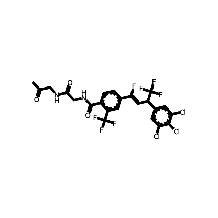 CC(=O)CNC(=O)CNC(=O)c1ccc(C(F)=CC(c2cc(Cl)c(Cl)c(Cl)c2)C(F)(F)F)cc1C(F)(F)F